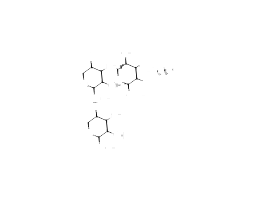 O=C([O-])C1OCC(O)C(O)C1O.O=C([O-])C1OCC(O)C(O)C1O.O=C([O-])C1OCC(O)C(O)C1O.[Cs+].[Cs+].[Cs+]